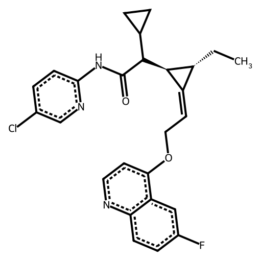 CC[C@@H]1/C(=C/COc2ccnc3ccc(F)cc23)[C@H]1C(C(=O)Nc1ccc(Cl)cn1)C1CC1